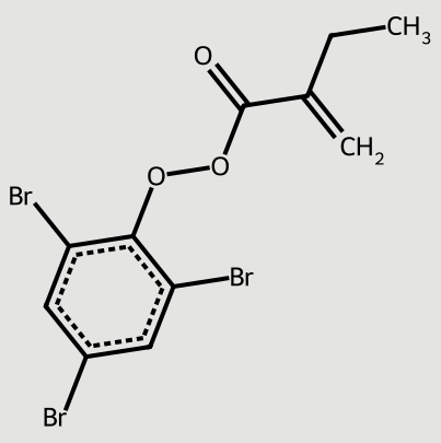 C=C(CC)C(=O)OOc1c(Br)cc(Br)cc1Br